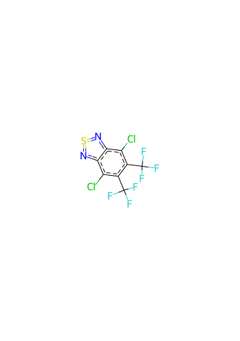 FC(F)(F)c1c(C(F)(F)F)c(Cl)c2nsnc2c1Cl